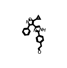 O=CCc1ccc(-c2nc(-c3c(-c4ccccc4)noc3C3CC3)c[nH]2)cc1